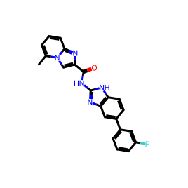 Cc1cccc2nc(C(=O)Nc3nc4cc(-c5cccc(F)c5)ccc4[nH]3)cn12